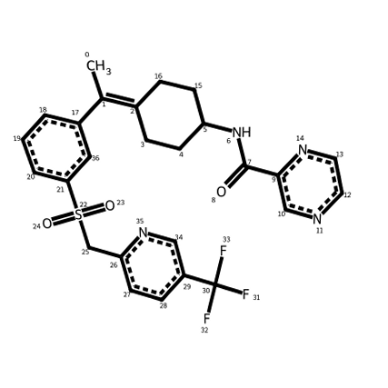 CC(=C1CCC(NC(=O)c2cnccn2)CC1)c1cccc(S(=O)(=O)Cc2ccc(C(F)(F)F)cn2)c1